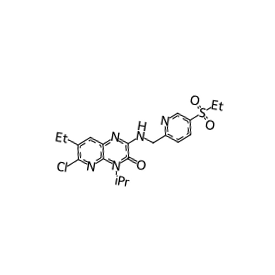 CCc1cc2nc(NCc3ccc(S(=O)(=O)CC)cn3)c(=O)n(C(C)C)c2nc1Cl